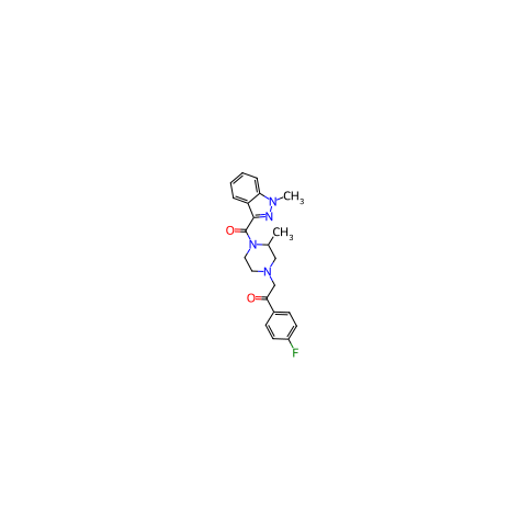 CC1CN(CC(=O)c2ccc(F)cc2)CCN1C(=O)c1nn(C)c2ccccc12